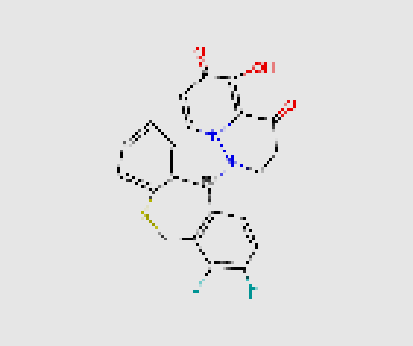 O=C1CCN([C@H]2c3ccccc3SCc3c2ccc(F)c3F)n2ccc(=O)c(O)c21